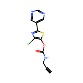 C#CCNC(=O)Oc1sc(-c2cncnc2)nc1Cl